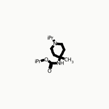 CC(C)OC(=O)NC1(C)CCN(C(C)C)CC1